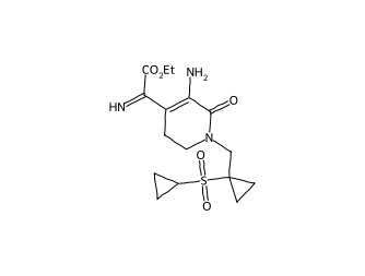 CCOC(=O)C(=N)C1=C(N)C(=O)N(CC2(S(=O)(=O)C3CC3)CC2)CC1